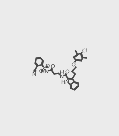 Cc1cc(OCCCc2c(C(=O)NCCC(=O)NS(=O)(=O)c3ccccc3C#N)[nH]c3ccccc23)cc(C)c1Cl